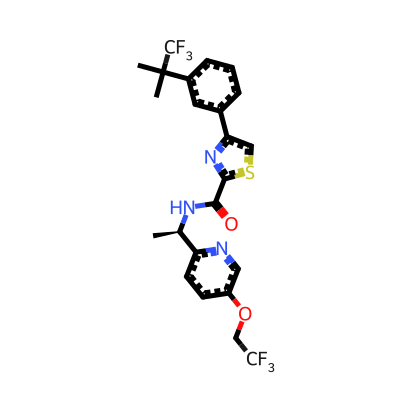 C[C@@H](NC(=O)c1nc(-c2cccc(C(C)(C)C(F)(F)F)c2)cs1)c1ccc(OCC(F)(F)F)cn1